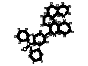 O=P(c1ccccc1)(c1ccccc1)c1ccc(-c2nc3ccccc3c3c2ccc2ccc4cccnc4c23)cc1